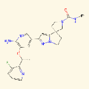 CC(C)NC(=O)N1CC[C@@]2(CCn3nc(-c4cnc(N)c(O[C@H](C)c5ncccc5F)c4)cc32)C1